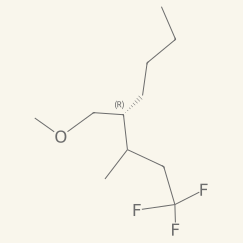 CCCC[C@@H](COC)C(C)CC(F)(F)F